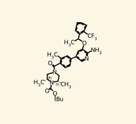 Cc1cc(-c2cnc(N)c(OC(C)c3ccccc3C(F)(F)F)c2)ccc1C(=O)N1C[C@@H](C)N(C(=O)OC(C)(C)C)[C@@H](C)C1